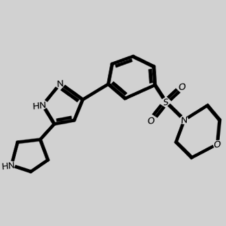 O=S(=O)(c1cccc(-c2cc(C3CCNC3)[nH]n2)c1)N1CCOCC1